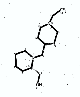 OC[C@@H]1CCCCN1CC1CCN(CC(F)(F)F)CC1